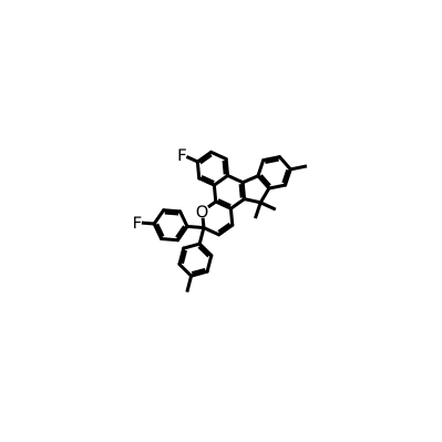 Cc1ccc(C2(c3ccc(F)cc3)C=Cc3c4c(c5ccc(F)cc5c3O2)-c2ccc(C)cc2C4(C)C)cc1